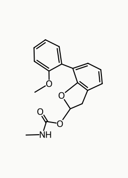 CNC(=O)OC1Cc2cccc(-c3ccccc3OC)c2O1